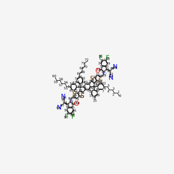 CCCCCCc1ccc(C2(c3ccc(C)cc3)c3cc4c(cc3-c3sc5cc(/C=C6\C(=O)c7cc(F)c(F)cc7C6=C(C#N)C#N)sc5c32)C(c2ccc(CCCCCC)cc2)(c2ccc(CCCCCC)cc2)c2c-4sc3cc(/C=C4\C(=O)c5cc(F)c(F)cc5C4=C(C#N)C#N)sc23)cc1